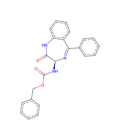 O=C(N[C@@H]1N=C(c2ccccc2)c2ccccc2NC1=O)OCc1ccccc1